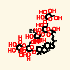 CC[C@@H]1O[C@H](O[C@H]2[C@H](O[C@H](CC[C@@H](C)C3CC[C@@]4(C)C5CC=C6C(CC[C@H](O[C@@H]7O[C@H](CO)[C@@H](O[C@@H]8O[C@H](CO)[C@@H](O)[C@H](O)[C@H]8O)[C@H](O)[C@H]7O)C6(C)C)[C@]5(C)CC[C@]34C)C(C)(C)O)O[C@H](CO[C@@H]3O[C@H](CO)[C@@H](O)[C@H](O)[C@H]3O)[C@@H](O)[C@@H]2O)[C@@H](O)[C@H](O)[C@H]1O